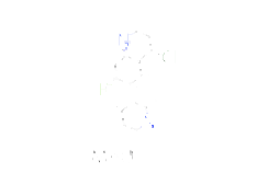 COCc1ccc(-c2cc3c(Cl)ccnc3cc2F)cn1